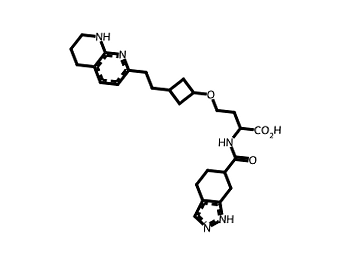 O=C(NC(CCOC1CC(CCc2ccc3c(n2)NCCC3)C1)C(=O)O)C1CCc2cn[nH]c2C1